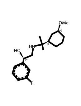 CO[C@H]1CCC[C@@H](C(C)(C)NC[C@H](O)c2cccc(F)c2)C1